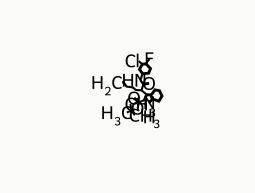 C=CCCCC(C(=O)Nc1ccc(F)c(Cl)c1)c1c(C(=O)OC(C)(C)C)[nH]c2ccccc12